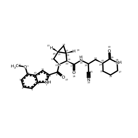 COc1cccc2[nH]c(C(=O)N3C[C@@H]4C[C@@H]4[C@H]3C(=O)NC(C#N)C[C@@H]3CCCNC3=O)cc12